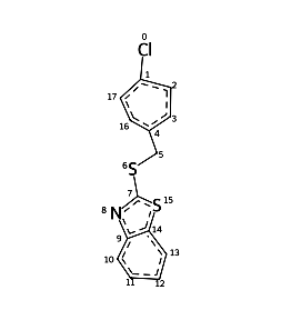 Clc1ccc(CSc2nc3ccccc3s2)cc1